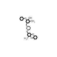 Cc1cc(CN2CCCN(Cc3cc(C)c(O)c(Oc4ccccc4)c3)C2)cc(Oc2ccccc2)c1O